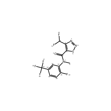 CN(C(=O)c1snnc1C(F)F)c1cc(C(F)(F)F)ccc1F